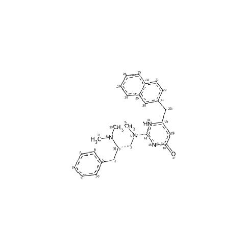 CN(C[C@H](Cc1ccccc1)N(C)C)c1nc(=O)cc(Cc2ccc3ccccc3c2)[nH]1